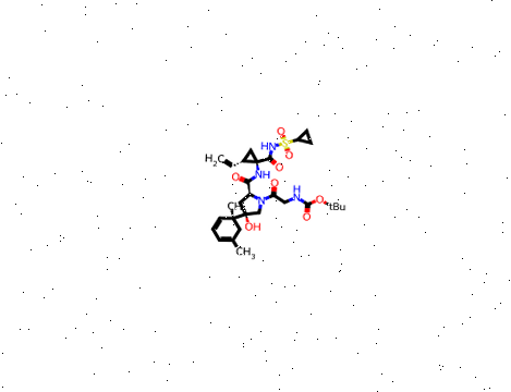 C=C[C@@H]1C[C@]1(NC(=O)[C@@H]1C[C@@](O)([C@@]2(C)C=CC=C(C)C2)CN1C(=O)CNC(=O)OC(C)(C)C)C(=O)NS(=O)(=O)C1CC1